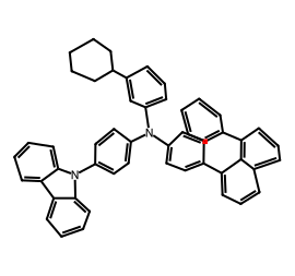 c1ccc(-c2cccc3cccc(-c4ccc(N(c5ccc(-n6c7ccccc7c7ccccc76)cc5)c5cccc(C6CCCCC6)c5)cc4)c23)cc1